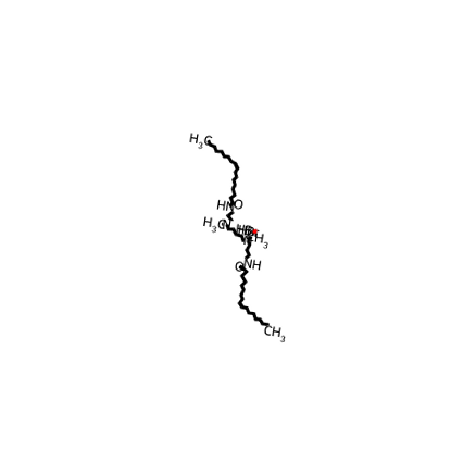 Br.Br.CCCCCCCC/C=C\CCCCCCCC(=O)NCCCCN(C)CCCCCN(C)CCCNC(=O)CCCCCCC/C=C\CCCCCCCC